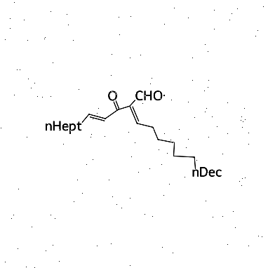 CCCCCCCC=CC(=O)C([C]=O)=CCCCCCCCCCCCCCCC